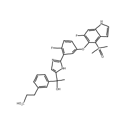 CC(O)(c1cccc(CCC(=O)O)c1)c1cnc(-c2cc(Oc3c(F)cc4[nH]ccc4c3P(C)(C)=O)ccc2F)[nH]1